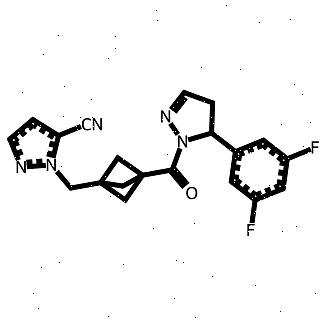 N#Cc1ccnn1CC12CC(C(=O)N3N=CCC3c3cc(F)cc(F)c3)(C1)C2